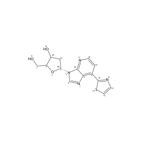 OCC1O[C@@H](n2cnc3c(-c4nccs4)ccnc32)CC1O